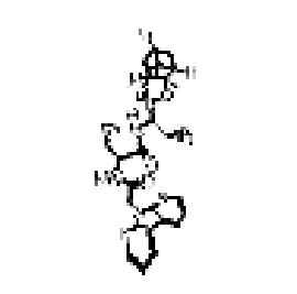 CC(C)C[C@H](NC(=O)[C@H](CC(C)C)NC(=O)Cn1c2ncccc2c2cccnc21)B1O[C@@H]2C[C@@H]3C[C@@H](C3(C)C)[C@]2(C)O1